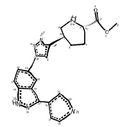 COC(=O)[C@@H]1CC[C@@H](c2cn(-c3ccc4[nH]nc(-c5ccncc5)c4c3)nn2)CN1